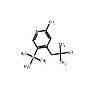 Cc1cc(CC(C)(C)C)c([Si](C)(C)C)cn1